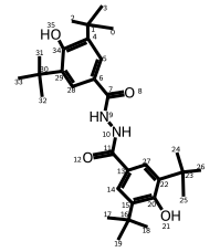 CC(C)(C)c1cc(C(=O)NNC(=O)c2cc(C(C)(C)C)c(O)c(C(C)(C)C)c2)cc(C(C)(C)C)c1O